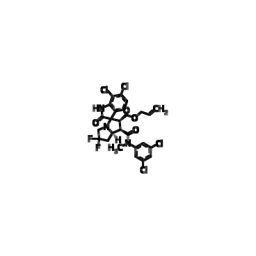 C=CCOC(=O)[C@H]1[C@@H](C(=O)N(C)c2cc(Cl)cc(Cl)c2)[C@H]2CC(F)(F)CN2C12C(=O)Nc1c2ccc(Cl)c1Cl